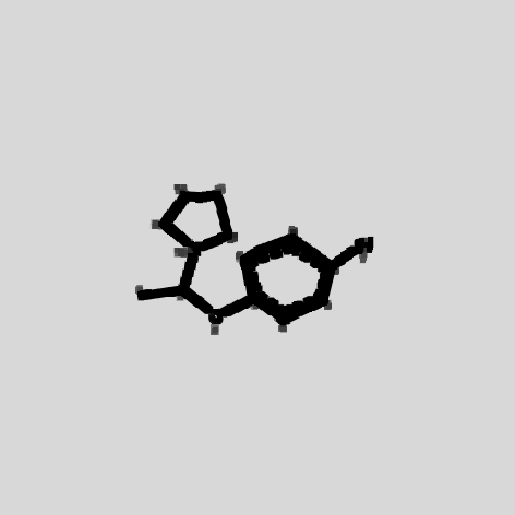 CC(Oc1ccc(S)cc1)N1CCCC1